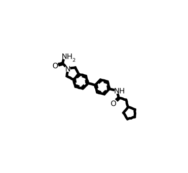 NC(=O)N1Cc2ccc(-c3ccc(NC(=O)CC4CCCC4)cc3)cc2C1